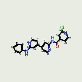 O=C(Nc1cc(-c2ccnc(Nc3ccccc3)c2)ccn1)c1ccnc(Cl)c1